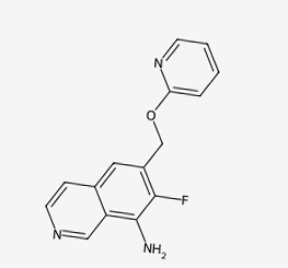 Nc1c(F)c(COc2ccccn2)cc2ccncc12